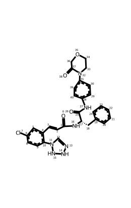 O=C(/C=C/c1cc(Cl)ccc1N1C=NNN1)N[C@@H](Cc1ccccc1)C(=O)Nc1ccc(N2CCOCC2=O)cc1